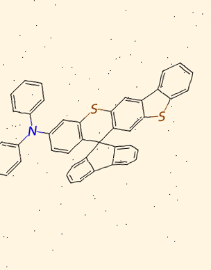 c1ccc(N(c2ccccc2)c2ccc3c(c2)Sc2cc4c(cc2C32c3ccccc3-c3ccccc32)sc2ccccc24)cc1